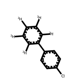 [2H]c1c([2H])c([2H])c(-c2ccc(Cl)cc2)c([2H])c1[2H]